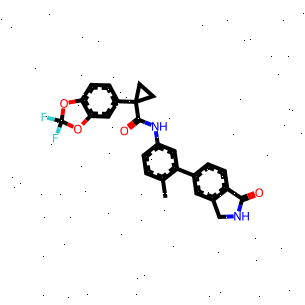 Cc1ccc(NC(=O)C2(c3ccc4c(c3)OC(F)(F)O4)CC2)cc1-c1ccc2c(c1)CNC2=O